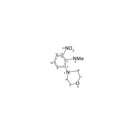 CNc1c(N2CCOCC2)cccc1[N+](=O)[O-]